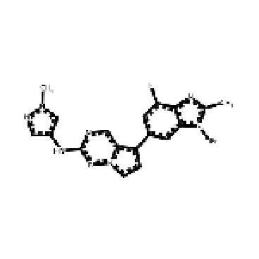 Cc1nc2c(F)cc(-c3ccn4nc(Nc5cnn(C)c5)ncc34)cc2n1C(C)C